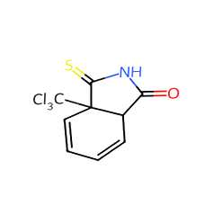 O=C1NC(=S)C2(C(Cl)(Cl)Cl)C=CC=CC12